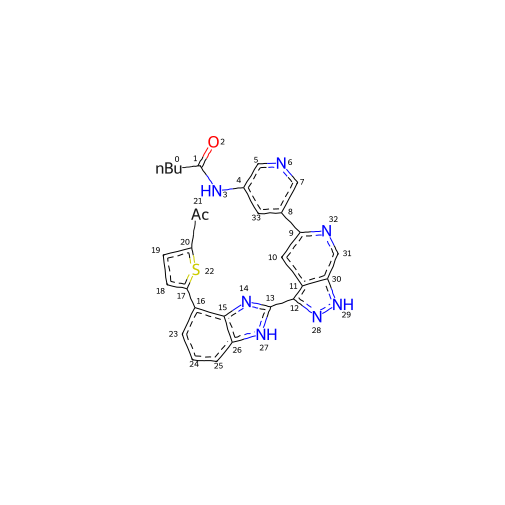 CCCCC(=O)Nc1cncc(-c2cc3c(-c4nc5c(-c6ccc(C(C)=O)s6)cccc5[nH]4)n[nH]c3cn2)c1